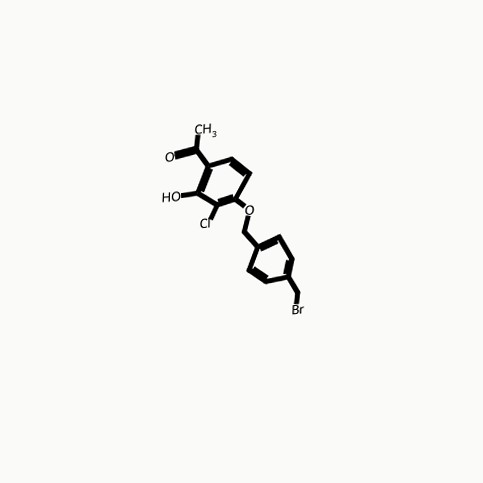 CC(=O)c1ccc(OCc2ccc(CBr)cc2)c(Cl)c1O